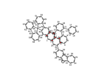 c1ccc(-c2ccccc2-c2c(-c3ccccc3)cccc2N(c2ccc(-c3ccc4oc5ccccc5c4c3)cc2)c2ccc3c(c2)-c2ccccc2C32c3ccccc3-c3ccccc32)cc1